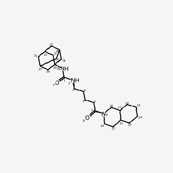 O=C(NCCCCC(=O)N1CCC2CCCCC2C1)NC12CC3CC(CC(C3)C1)C2